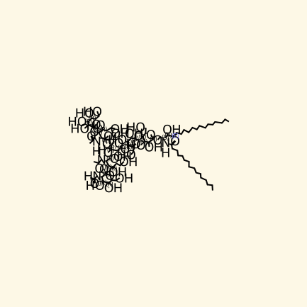 CCCCCCCCCCCCC/C=C/[C@@H](O)[C@H](CO[C@@H]1OC(CO)[C@@H](O[C@@H]2OC(CO)[C@H](O[C@@H]3OC(CO)[C@H](O[C@@H]4OC(CO)[C@H](O)[C@H](O[C@@H]5OC(CO)[C@H](O)[C@H](O)C5O)C4NC(C)=O)[C@H](O[C@@H]4OC(CO)[C@H](O)[C@H](O[C@H]5OC(CO)[C@H](O)[C@H](O)C5NC(C)=O)C4NC(C)=O)C3O)[C@H](O)C2O)[C@H](O)C1O)NC(=O)CCCCCCCCCCCCCCC